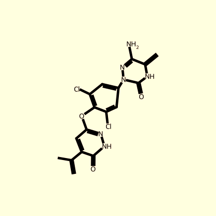 C=C1NC(=O)N(c2cc(Cl)c(Oc3cc(C(=C)C)c(=O)[nH]n3)c(Cl)c2)N=C1N